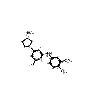 CCCc1cc(N2CC[C@H](NC(C)=O)C2)nc(Nc2ccc(C)c(OC)c2)n1